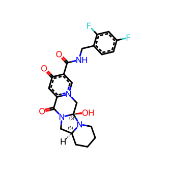 O=C(NCc1ccc(F)cc1F)c1cn2c(cc1=O)C(=O)N1C[C@@H]3CCCCN3[C@@]1(O)C2